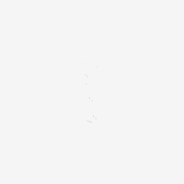 CCOC(O)N1CCC2(CC(N3CCC(N4CCCCCC4=O)CC3)C2)C1